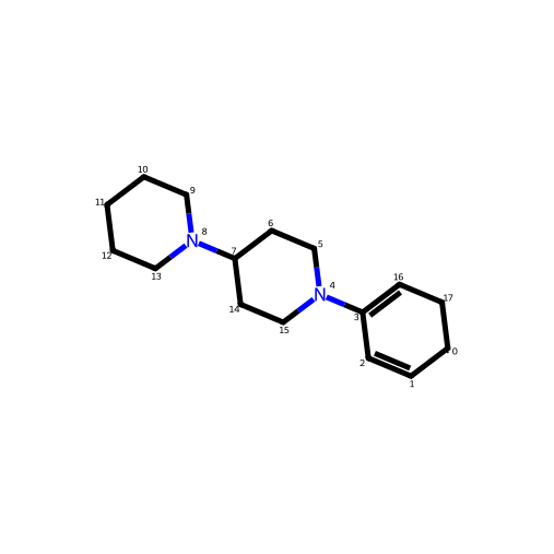 [CH]1C=CC(N2CCC(N3CCCCC3)CC2)=CC1